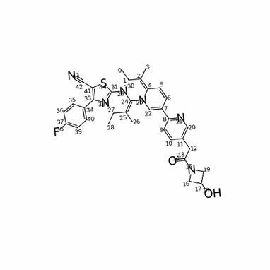 CC/C(C)=C1/C=CC(c2ccc(CC(=O)N3CC(O)C3)cn2)=CN1/C(=C(\C)CC)N(C)c1nc(-c2ccc(F)cc2)c(C#N)s1